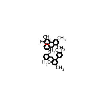 Cc1cc(C)c(Cc2ccccc2Sc2ccccc2Cc2c(C)cc(C)cc2-c2ccc(F)c(C)c2)c(-c2ccc(F)c(C)c2)c1